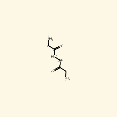 NCC(=O)NNC(=O)CN